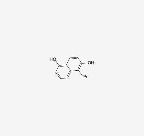 CC(C)c1c(O)ccc2c(O)cccc12